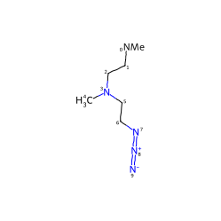 CNCCN(C)CCN=[N+]=[N-]